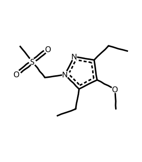 CCc1nn(CS(C)(=O)=O)c(CC)c1OC